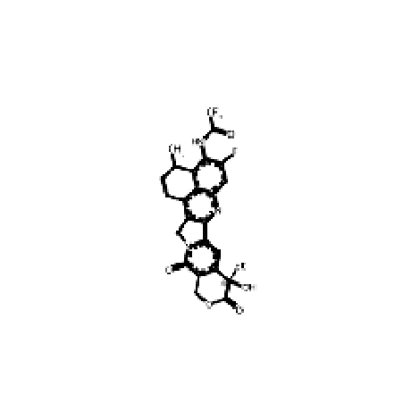 CC[C@@]1(O)C(=O)OCc2c1cc1n(c2=O)Cc2c-1nc1cc(F)c(NC(=O)C(F)(F)F)c3c1c2CCC3C